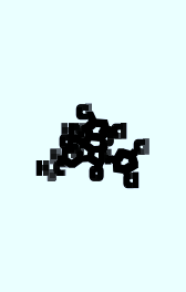 C[C@]1(F)CC2C3C(=O)N(c4cc(Cl)cc(Cl)c4)C(=O)C3C3(C(=O)Nc4c(Cl)cc(Cl)cc43)N2C1